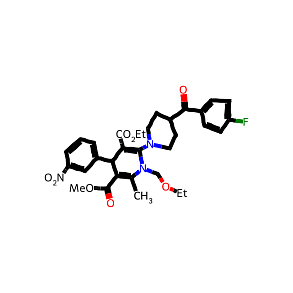 CCOCN1C(C)=C(C(=O)OC)C(c2cccc([N+](=O)[O-])c2)C(C(=O)OCC)=C1N1CCC(C(=O)c2ccc(F)cc2)CC1